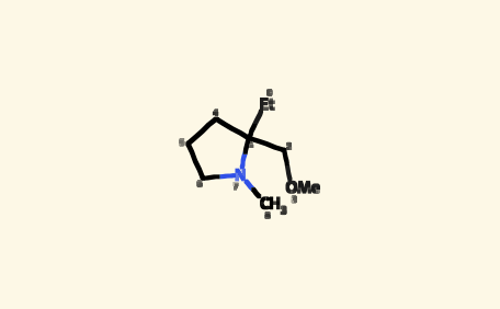 CCC1(COC)CCCN1C